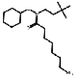 CC(C)(C)CCN(OC1CCCCC1)C(=O)CCCCCCN